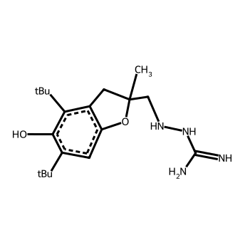 CC1(CNNC(=N)N)Cc2c(cc(C(C)(C)C)c(O)c2C(C)(C)C)O1